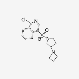 O=S(=O)(c1cnc(Cl)c2ccccc12)N1CCC(N2CCC2)C1